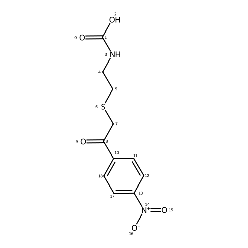 O=C(O)NCCSCC(=O)c1ccc([N+](=O)[O-])cc1